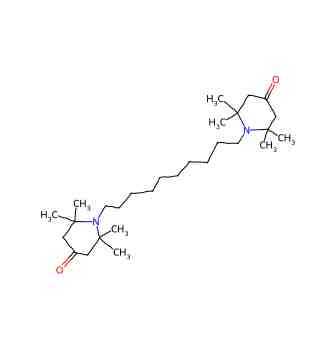 CC1(C)CC(=O)CC(C)(C)N1CCCCCCCCCCN1C(C)(C)CC(=O)CC1(C)C